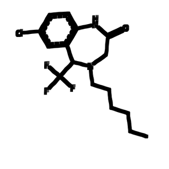 CCCCCCN1CC(=O)Nc2ccc(Cl)cc2C1C(F)(F)F